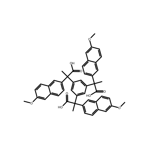 COc1ccc2cc(C(C)(C(=O)O)c3cc(C(C)(C(=O)O)c4ccc5cc(OC)ccc5c4)cc(C(C)(C(=O)O)c4ccc5cc(OC)ccc5c4)c3)ccc2c1